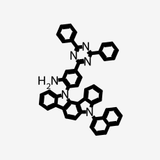 Nc1cc(-c2nc(-c3ccccc3)nc(-c3ccccc3)n2)ccc1-n1c2ccccc2c2ccc3c(c4ccccc4n3-c3cccc4ccccc34)c21